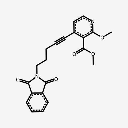 COC(=O)c1c(C#CCCCN2C(=O)c3ccccc3C2=O)ccnc1OC